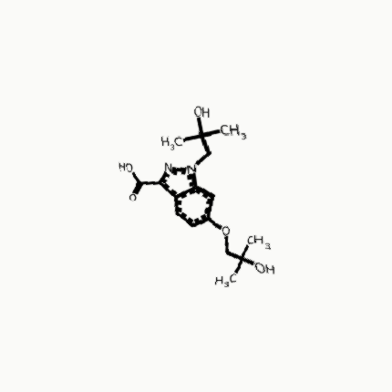 CC(C)(O)COc1ccc2c(C(=O)O)nn(CC(C)(C)O)c2c1